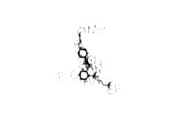 C=C(CCNC(=O)c1ccc(C(F)(F)F)cc1NS(=O)(=O)c1ccc(OCCOC)cc1)C(F)(F)F